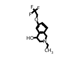 CCN1Cc2ccc(OCC(F)(F)F)cc2C(O)C1